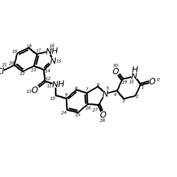 O=C1CCC(N2Cc3cc(CNC(=O)c4n[nH]c5ccc(Cl)cc45)ccc3C2=O)C(=O)N1